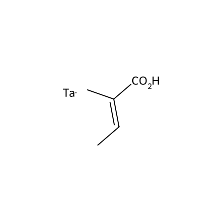 CC=C(C)C(=O)O.[Ta]